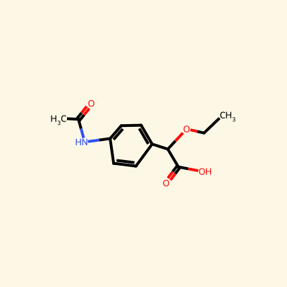 CCOC(C(=O)O)c1ccc(NC(C)=O)cc1